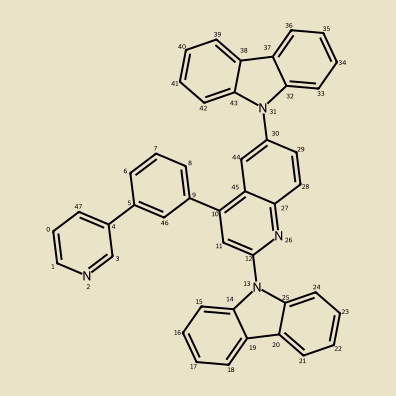 c1cncc(-c2cccc(-c3cc(-n4c5ccccc5c5ccccc54)nc4ccc(-n5c6ccccc6c6ccccc65)cc34)c2)c1